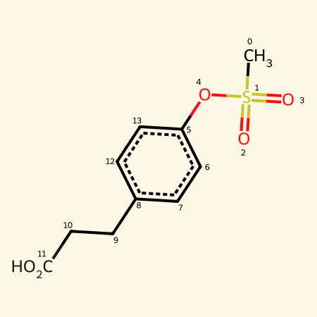 CS(=O)(=O)Oc1ccc(CCC(=O)O)cc1